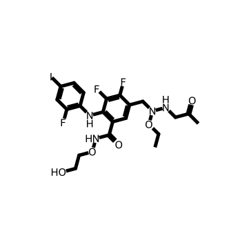 CCON(Cc1cc(C(=O)NOCCO)c(Nc2ccc(I)cc2F)c(F)c1F)NCC(C)=O